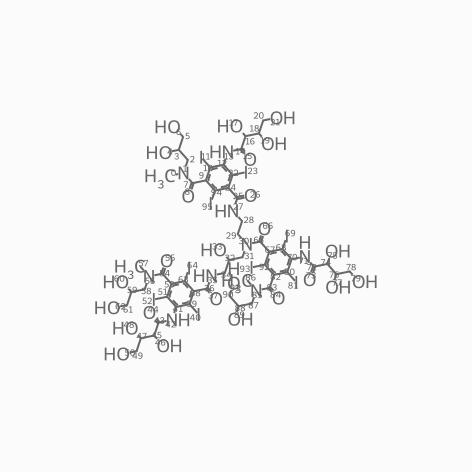 CN(CC(O)CO)C(=O)c1c(I)c(NC(=O)C(O)C(O)CO)c(I)c(C(=O)NCCN(CC(O)CNC(=O)c2c(I)c(NC(=O)C(O)C(O)CO)c(I)c(C(=O)N(C)CC(O)CO)c2I)C(=O)c2c(I)c(NC(=O)C(O)C(O)CO)c(I)c(C(=O)N(C)CC(O)CO)c2I)c1I